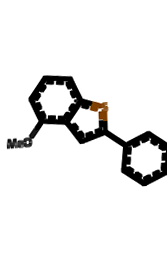 COc1cccc2sc(-c3ccccc3)cc12